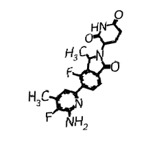 Cc1cc(-c2ccc3c(c2F)C(C)N(C2CCC(=O)NC2=O)C3=O)nc(N)c1F